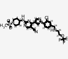 CS(=O)(=O)N1CCC(Nc2ncc(C#N)c(-c3cnn(-c4ccc(CNCCOC(F)(F)F)cc4Cl)c3)n2)CC1